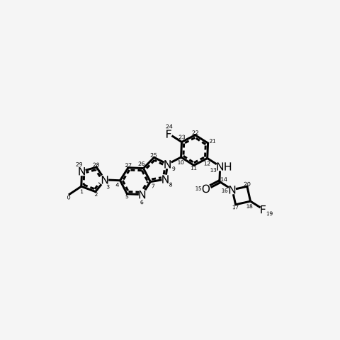 Cc1cn(-c2cnc3nn(-c4cc(NC(=O)N5CC(F)C5)ccc4F)cc3c2)cn1